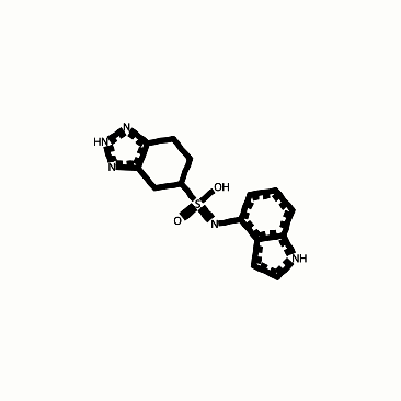 O=S(O)(=Nc1cccc2[nH]ccc12)C1CCc2n[nH]nc2C1